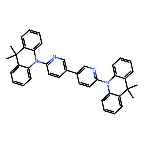 CC1(C)c2ccccc2N(c2ccc(-c3ccc(N4c5ccccc5C(C)(C)c5ccccc54)nc3)cn2)c2ccccc21